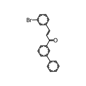 O=C(C=Cc1cccc(Br)c1)c1cccc(-c2ccccc2)c1